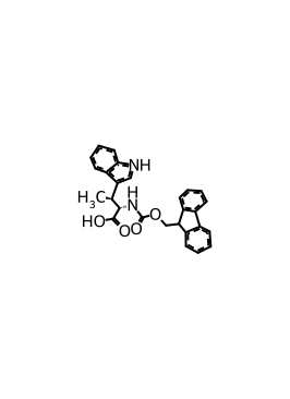 C[C@@H](c1c[nH]c2ccccc12)[C@H](NC(=O)OCC1c2ccccc2-c2ccccc21)C(=O)O